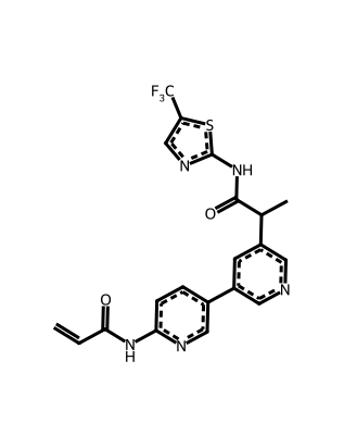 C=CC(=O)Nc1ccc(-c2cncc(C(C)C(=O)Nc3ncc(C(F)(F)F)s3)c2)cn1